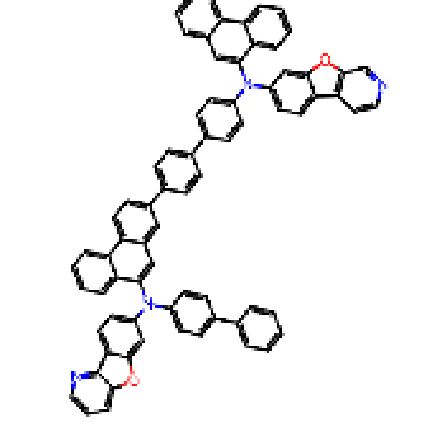 c1ccc(-c2ccc(N(c3ccc4c(c3)oc3cccnc34)c3cc4cc(-c5ccc(-c6ccc(N(c7ccc8c(c7)oc7cnccc78)c7cc8ccccc8c8ccccc78)cc6)cc5)ccc4c4ccccc34)cc2)cc1